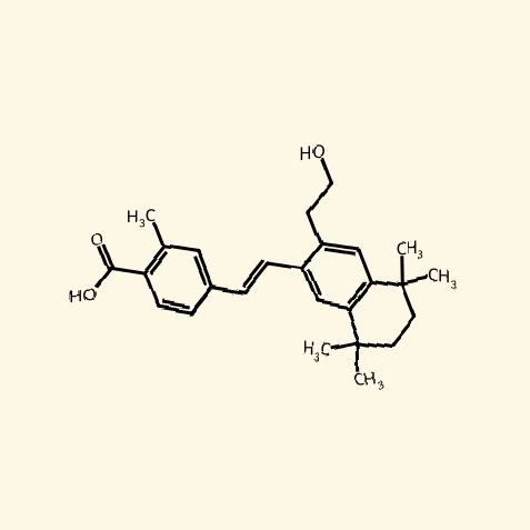 Cc1cc(C=Cc2cc3c(cc2CCO)C(C)(C)CCC3(C)C)ccc1C(=O)O